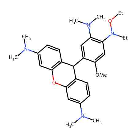 CCON(CC)c1cc(OC)c(C2c3ccc(N(C)C)cc3Oc3cc(N(C)C)ccc32)cc1N(C)C